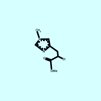 CCC(Cc1cn(C)cn1)C(=O)OC